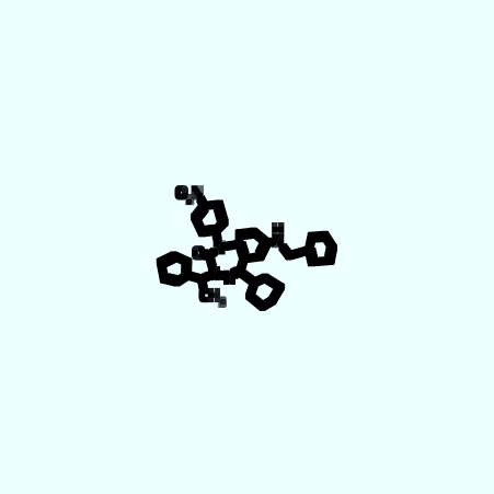 CC(c1ccccc1)N1N=C(C2CCCCC2)c2cc(NCc3ccccc3)ccc2N(c2ccc([N+](=O)[O-])cc2)C1=O